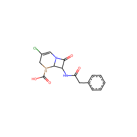 O=C(Cc1ccccc1)NC1C(=O)N2C=C(Cl)C[SH](C(=O)O)C12